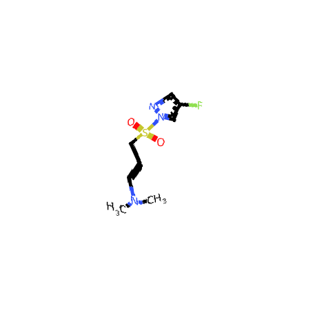 CN(C)C=CCS(=O)(=O)n1cc(F)cn1